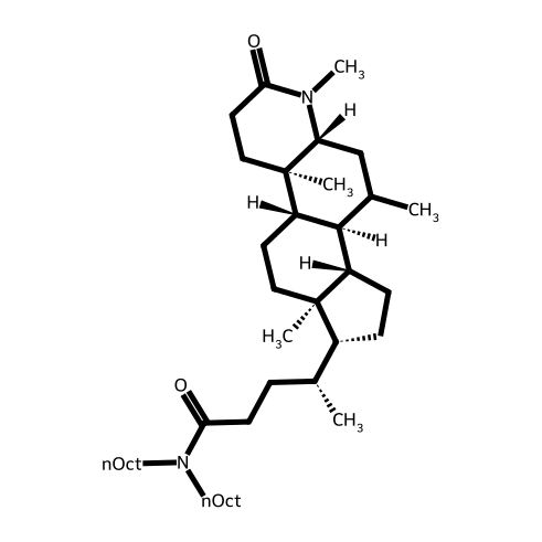 CCCCCCCCN(CCCCCCCC)C(=O)CC[C@@H](C)[C@H]1CC[C@H]2[C@@H]3C(C)C[C@H]4N(C)C(=O)CC[C@]4(C)[C@H]3CC[C@]12C